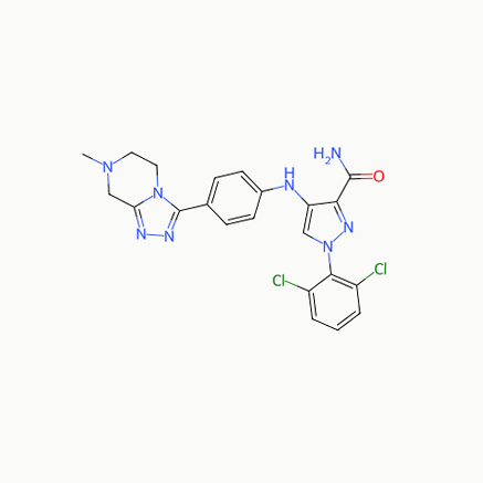 CN1CCn2c(nnc2-c2ccc(Nc3cn(-c4c(Cl)cccc4Cl)nc3C(N)=O)cc2)C1